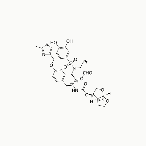 Cc1nc(COc2ccc(C[C@H](NC(=O)O[C@H]3CO[C@H]4OCC[C@H]43)[C@@H](CN(CC(C)C)S(=O)(=O)c3ccc(O)c(O)c3)OC=O)cc2)cs1